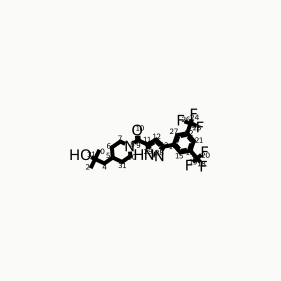 CC(C)(O)CC1CCN(C(=O)c2cc(-c3cc(C(F)(F)F)cc(C(F)(F)F)c3)n[nH]2)CC1